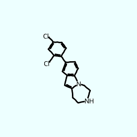 Clc1ccc(-c2ccc3c(c2)cc2n3CCNCC2)c(Cl)c1